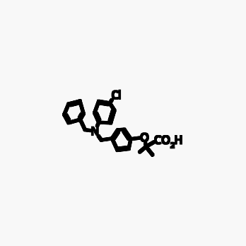 CC(C)(Oc1ccc(CN(Cc2ccccc2)c2ccc(Cl)cc2)cc1)C(=O)O